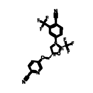 N#Cc1ccc(OC[C@@H]2CN(c3ccc(C#N)c(C(F)(F)F)c3)[C@H](C(F)(F)F)O2)cn1